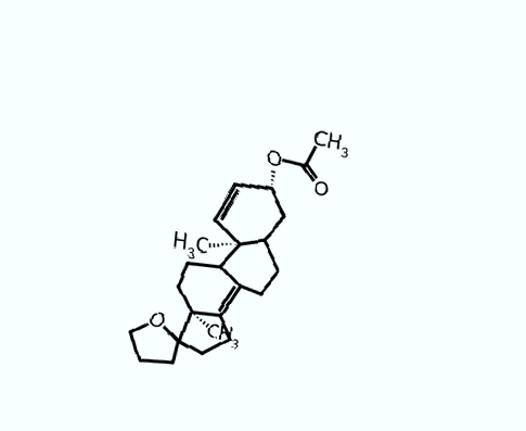 CC(=O)O[C@H]1C=C[C@@]2(C)C(CCC3=C4CCC5(CCCO5)[C@@]4(C)CCC32)C1